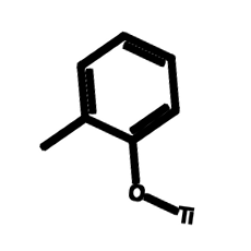 Cc1ccccc1[O][Ti]